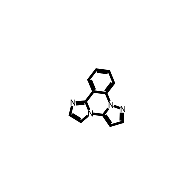 c1ccc2c(c1)c1nccn1c1ccnn21